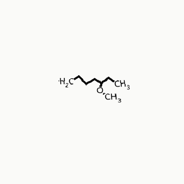 [CH2]CCCC(CC)OC